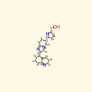 OCc1nc(-c2ccc3nc(-c4cccc5ncccc45)cn3c2)cs1